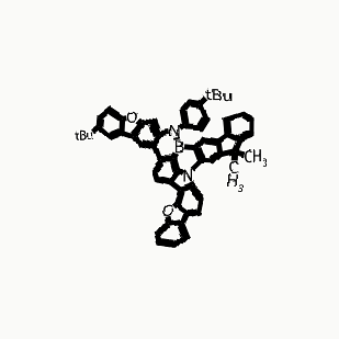 CC(C)(C)c1ccc(N2B3c4cc5c(cc4-n4c6ccc7c8ccccc8oc7c6c6ccc(c3c64)-c3cc4c(cc32)oc2ccc(C(C)(C)C)cc24)C(C)(C)c2ccccc2-5)cc1